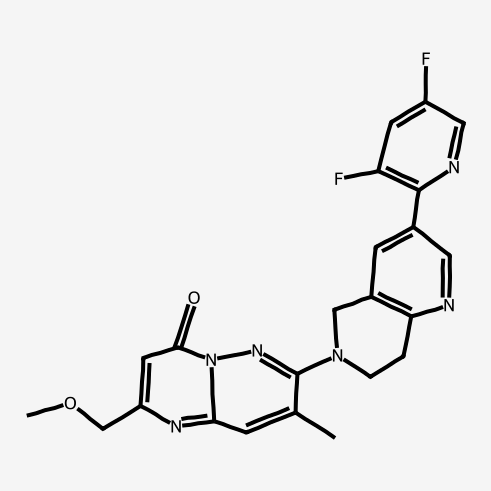 COCc1cc(=O)n2nc(N3CCc4ncc(-c5ncc(F)cc5F)cc4C3)c(C)cc2n1